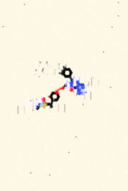 C=c1[nH]c(=O)/c(=C(/C)c2ccc(OCCn3c(-c4ccc(OC)c(OC)c4)nc4c(CCC)nn(C)c4c3=O)cc2)s1